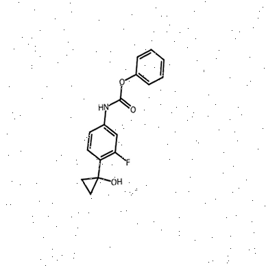 O=C(Nc1ccc(C2(O)CC2)c(F)c1)Oc1ccccc1